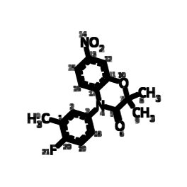 Cc1cc(N2C(=O)C(C)(C)Oc3cc([N+](=O)[O-])ccc32)ccc1F